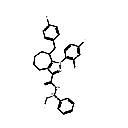 O=C(N[C@H](CCl)c1ccccc1)c1nn(-c2ccc(F)cc2F)c2c1CCCCC2Cc1ccc(F)cc1